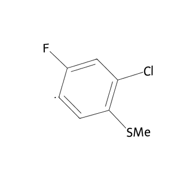 CSc1c[c]c(F)cc1Cl